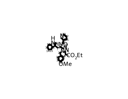 CCOC(=O)Cc1nnc([C@@H](Cc2c[nH]c3ccccc23)NC(=O)c2cccnc2)n1Cc1ccc(OC)cc1